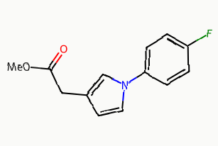 COC(=O)Cc1ccn(-c2ccc(F)cc2)c1